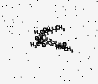 CCCCCCC(C)(O)CCN1C(=O)N(C)C(=O)C1CCCCCCCNC(C)=O